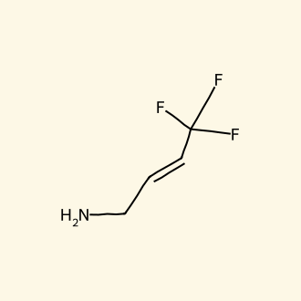 NC/C=C/C(F)(F)F